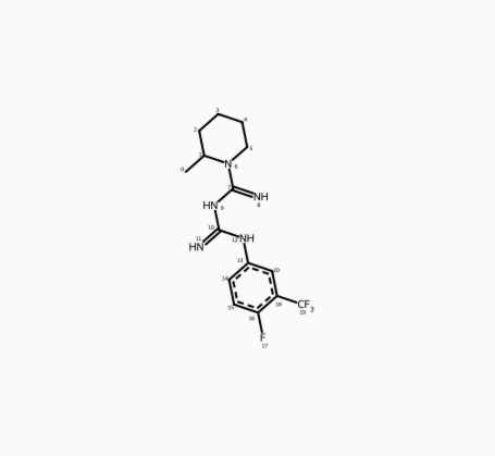 CC1CCCCN1C(=N)NC(=N)Nc1ccc(F)c(C(F)(F)F)c1